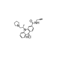 C#CCNC(=O)c1ccc2c(c1)N([C@H](C)CN1CCCC1)c1ccccc1S2.Cl